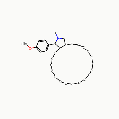 CCCCOc1ccc(C2C3CCCCCCCCCCCCCCCCCCC3CN2C)cc1